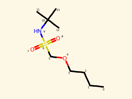 CCCCOCS(=O)(=O)NC(C)(C)C